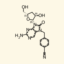 N#Cc1ccc(Cn2c(=O)n([C@@H]3O[C@H](CO)C[C@H]3O)c3nc(N)ncc32)cc1